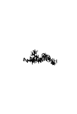 Cn1nccc1-c1cnc(Nc2cc([C@H]3OC[C@@H](OC(=O)NC45CC(C4)C5)[C@@H]3F)[nH]n2)n2cc(C#N)nc12